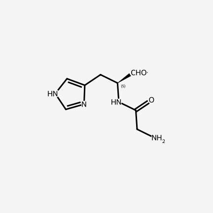 NCC(=O)N[C@H]([C]=O)Cc1c[nH]cn1